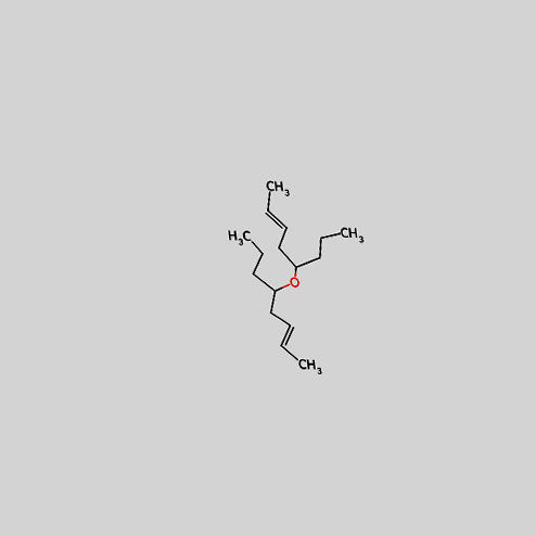 CC=CCC(CCC)OC(CC=CC)CCC